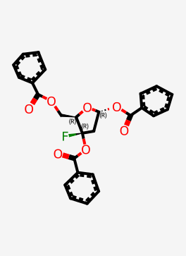 O=C(OC[C@H]1O[C@H](OC(=O)c2ccccc2)C[C@]1(F)OC(=O)c1ccccc1)c1ccccc1